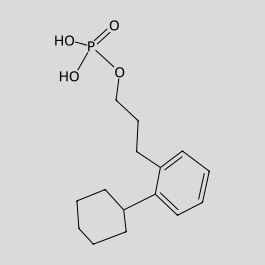 O=P(O)(O)OCCCc1ccccc1C1CCCCC1